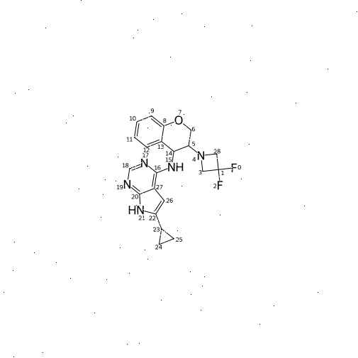 FC1(F)CN(C2COc3ccccc3C2Nc2ncnc3[nH]c(C4CC4)cc23)C1